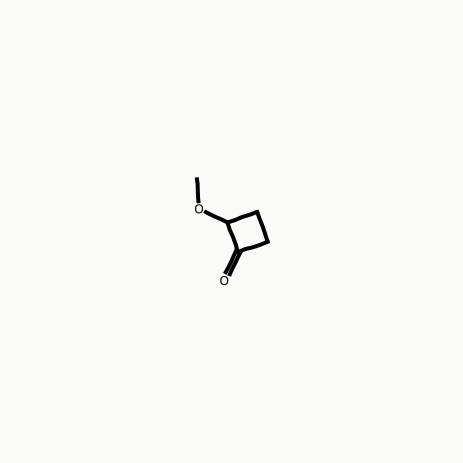 COC1CCC1=O